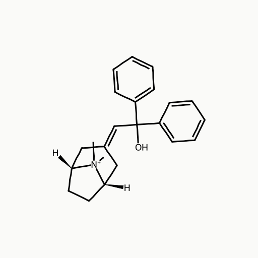 C[N+]1(C)[C@@H]2CC[C@H]1C/C(=C\C(O)(c1ccccc1)c1ccccc1)C2